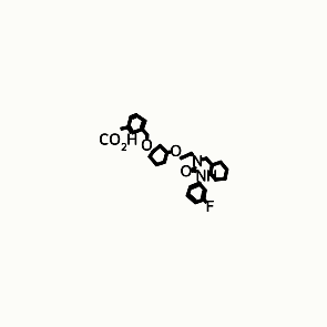 Cc1cccc(COC2CCCC(OCCN(CC3CCCCC3)C(=O)Nc3cccc(F)c3)C2)c1C(=O)O